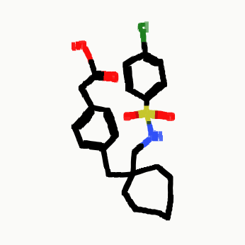 O=C(O)Cc1ccc(CC2(CNS(=O)(=O)c3ccc(Cl)cc3)CCCCCC2)cc1